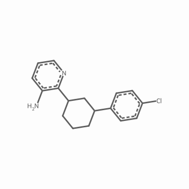 Nc1cccnc1C1CCCC(c2ccc(Cl)cc2)C1